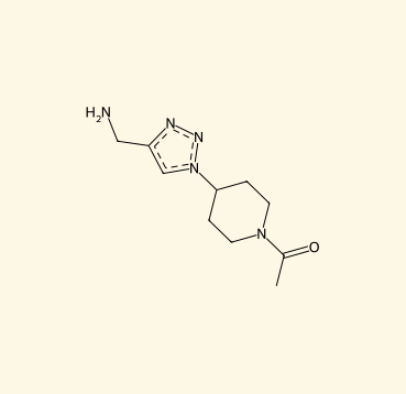 CC(=O)N1CCC(n2cc(CN)nn2)CC1